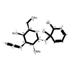 CO[C@@H]1[C@@H](N=[N+]=[N-])[C@@H](OC(C)=O)[C@@H](COC(C)=O)O[C@@H]1SC1(Cl)C=CC=NC1C#N